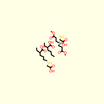 CCCCC(CC)C(=O)O.CCCCC(CC)C(=O)O.COC(=O)C[CH2][Sn][CH2]CC(=O)OC.O=C(O)CS.O=C(O)CS